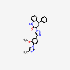 COc1cc(-c2cn(C3CC(c4ccccc4)c4ccccc4NC3=O)nn2)ccc1-n1cnc(C)c1